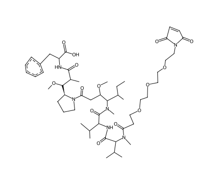 CCC(C)C(C(CC(=O)N1CCC[C@H]1C(OC)C(C)C(=O)NC(Cc1ccccc1)C(=O)O)OC)N(C)C(=O)C(NC(=O)C(C(C)C)N(C)C(=O)CCOCCOCCOCCN1C(=O)C=CC1=O)C(C)C